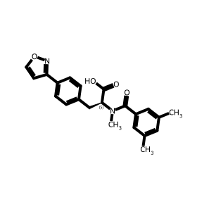 Cc1cc(C)cc(C(=O)N(C)[C@@H](Cc2ccc(-c3ccon3)cc2)C(=O)O)c1